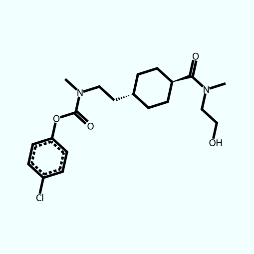 CN(CC[C@H]1CC[C@H](C(=O)N(C)CCO)CC1)C(=O)Oc1ccc(Cl)cc1